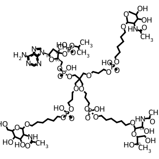 CC(=O)NC1C(OCCCCCCOP(=O)(O)OCCCOCC(COCCCOP(=O)(O)OCCCCCCOC2OC(CO)C(O)C(O)C2NC(C)=O)(COCCCOP(=O)(O)OCCCCCCOC(OC(CO)[C@@H](C)O)[C@H](O)NC(C)=O)COP(=O)(O)OC[C@H]2O[C@@H](n3cnc4c(N)ncnc43)C[C@]2(C)OP(=O)(O)OC(C)C)OCC(O)C1O